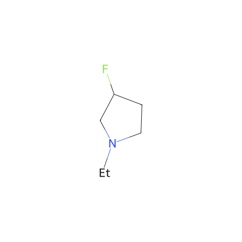 CCN1CCC(F)C1